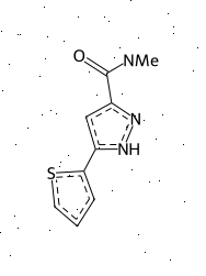 CNC(=O)c1cc(-c2cccs2)[nH]n1